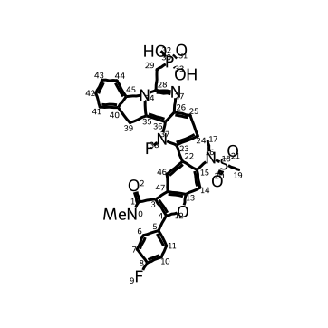 CNC(=O)c1c(-c2ccc(F)cc2)oc2cc(N(C)S(C)(=O)=O)c(C3=CC=C4N=C(CP(=O)(O)O)N5C(=C4N3F)Cc3ccccc35)cc12